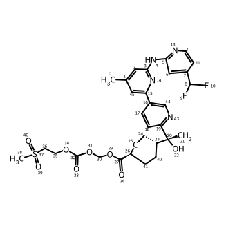 Cc1cc(Nc2cc(C(F)F)ccn2)nc(-c2ccc([C@](C)(O)[C@H]3CC[C@H](C(=O)OCOC(=O)OCCS(C)(=O)=O)CC3)nc2)c1